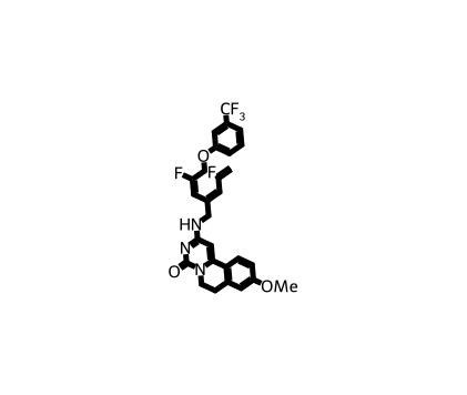 C=C(F)/C=C(\C=C(\F)COc1cccc(C(F)(F)F)c1)CNc1cc2n(c(=O)n1)CCc1cc(OC)ccc1-2